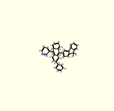 CC1(C)c2ccccc2-c2cc(-c3c4ccccc4c(-c4cccnc4)c4ccc(-c5ccccc5)cc34)ccc21